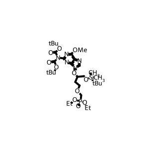 CCOP(=O)(COCCC(CO[Si](C)(C)C(C)(C)C)On1cnc2c(OC)nc(N(C(=O)OC(C)(C)C)C(=O)OC(C)(C)C)nc21)OCC